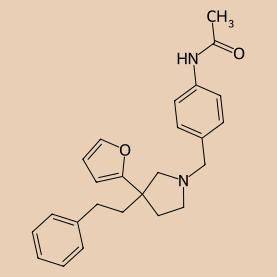 CC(=O)Nc1ccc(CN2CCC(CCc3ccccc3)(c3ccco3)C2)cc1